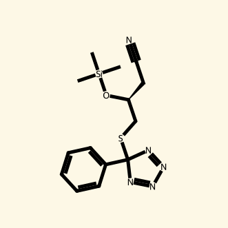 C[Si](C)(C)O[C@@H](CC#N)CSC1(c2ccccc2)N=NN=N1